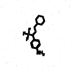 Nc1ccc(C(CCC2CCCCC2)C(F)(F)F)cc1